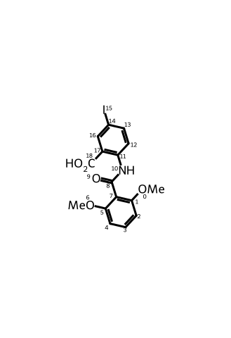 COc1cccc(OC)c1C(=O)Nc1ccc(I)cc1C(=O)O